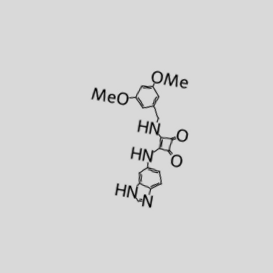 COc1cc(CNc2c(Nc3ccc4nc[nH]c4c3)c(=O)c2=O)cc(OC)c1